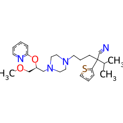 COC[C@H](CN1CCN(CCCC(C#N)(c2cccs2)C(C)C)CC1)Oc1ccccn1